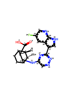 O=C(O)[C@H]1C2CCC(CC2)[C@@H]1Nc1cnnc(-c2c[nH]c3ncc(F)cc23)n1